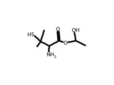 CC(O)OC(=O)C(N)C(C)(C)S